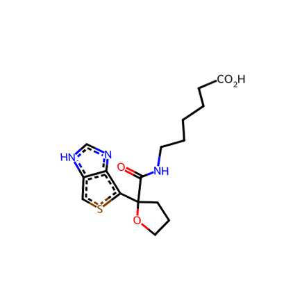 O=C(O)CCCCCNC(=O)C1(c2scc3[nH]cnc23)CCCO1